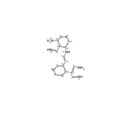 N=C/C(=C\N)c1ccncc1/C=C/Nc1cccc(N)c1C=N